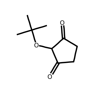 CC(C)(C)OC1C(=O)CCC1=O